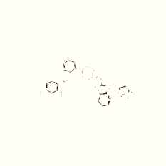 CCn1nncc1Cn1c(CN2CCC(c3cccc4c3OC(C)(c3ccc(Cl)cc3F)O4)CC2)nc2ccccc21